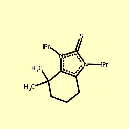 CC(C)n1c2c(n(C(C)C)c1=S)C(C)(C)CCC2